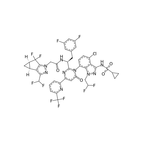 O=C(Cn1nc(C(F)F)c2c1C(F)(F)[C@@H]1C[C@H]21)N[C@@H](Cc1cc(F)cc(F)c1)c1nc(-c2cccc(C(F)(F)F)n2)cc(=O)n1-c1ccc(Cl)c2c(NS(=O)(=O)C3CC3)nn(CC(F)F)c12